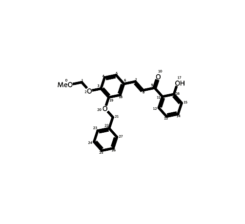 COCOc1ccc(C=CC(=O)c2ccccc2O)cc1OCc1ccccc1